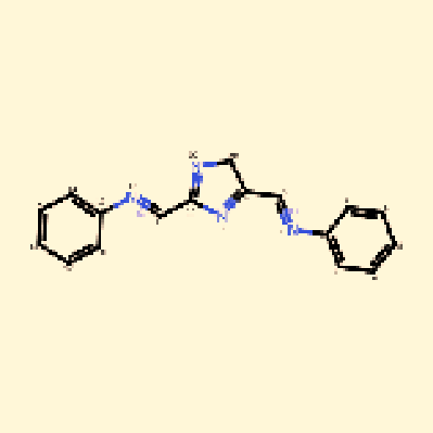 C(=N\c1ccccc1)/C1=NC(/C=N/c2ccccc2)=NC1